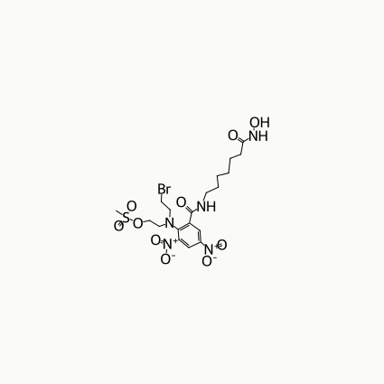 CS(=O)(=O)OCCN(CCBr)c1c(C(=O)NCCCCCCC(=O)NO)cc([N+](=O)[O-])cc1[N+](=O)[O-]